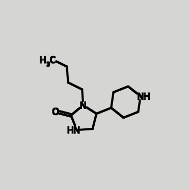 CCCCN1C(=O)NCC1C1CCNCC1